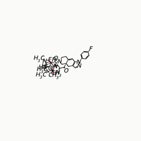 CN/C=C(\C=N)S(=O)(=N[Si](C)(C)C(C)(C)C)N1CCC2=Cc3c(cnn3-c3ccc(F)cc3)C[C@]2(C(=O)c2cc(C(F)(F)F)ccn2)C1